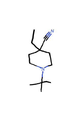 CCC1(C#N)CCN(C(C)(C)C)CC1